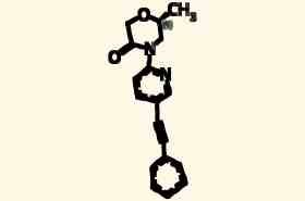 C[C@H]1CN(c2ccc(C#Cc3ccccc3)cn2)C(=O)CO1